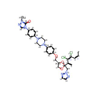 C=C(/C(Cl)=C(Cl)\C=C/C)[C@]1(Cn2nccn2)OC[C@@H](COc2ccc(N3CCN(c4ccc(-n5cnn(C(C)CC)c5=O)cc4)CC3)cc2)O1